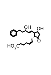 O=C(O)CCC/C=C\C[C@H]1C(=O)C[C@@H](O)C1/C=C/[C@@H](O)CCc1ccccc1